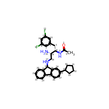 CC(=O)N[C@@H](Cc1cc(F)cc(F)c1)[C@@H](N)CNC1c2ccccc2-c2ccc(C3CCCC3)cc21